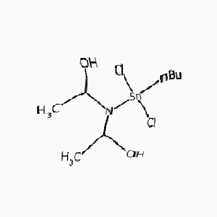 CCC[CH2][Sn]([Cl])([Cl])[N](C(C)O)C(C)O